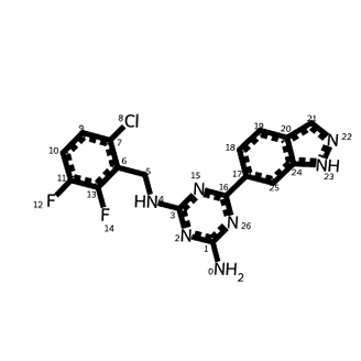 Nc1nc(NCc2c(Cl)ccc(F)c2F)nc(-c2ccc3cn[nH]c3c2)n1